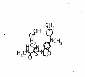 CNC(=O)c1sc(N2CCOc3cc(N(C)C4CCN(C)CC4)ccc32)nc1C.O=CO